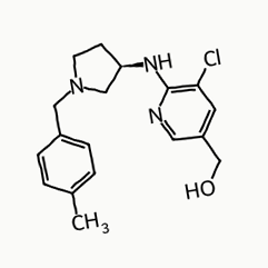 Cc1ccc(CN2CC[C@@H](Nc3ncc(CO)cc3Cl)C2)cc1